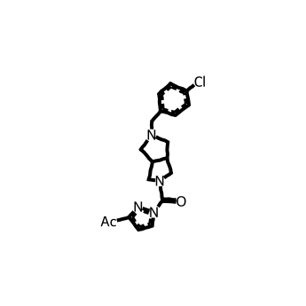 CC(=O)c1ccn(C(=O)N2CC3CN(Cc4ccc(Cl)cc4)CC3C2)n1